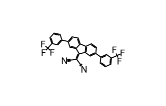 N#CC(C#N)=C1c2cc(-c3cccc(C(F)(F)F)c3)ccc2-c2ccc(-c3cccc(C(F)(F)F)c3)cc21